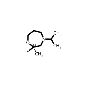 CC(C)N1CCCO[C@](C)(F)C1